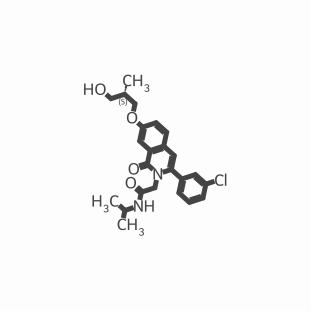 CC(C)NC(=O)Cn1c(-c2cccc(Cl)c2)cc2ccc(OC[C@@H](C)CO)cc2c1=O